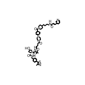 Cc1ncsc1-c1ccc(CNC(=O)[C@@H]2C[C@@H](O)CN2C(=O)[C@@H](NC(=O)CCCC(=O)N2CCN(c3ccc(C(=O)N4CCC(CCCCNC(=O)/C=C/c5cccnc5)CC4)cc3)CC2)C(C)(C)C)cc1